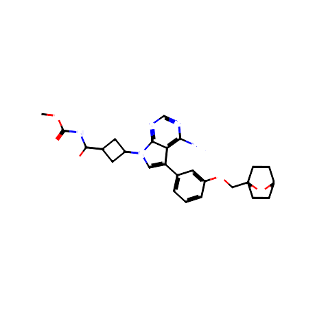 COC(=O)NC(O)C1CC(n2cc(-c3cccc(OCC45CCC(CC4)O5)c3)c3c(N)ncnc32)C1